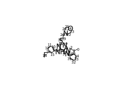 CC(Cn1ncc2c(Nc3cccc(F)c3)nc(SCCN3CCOCC3)nc21)c1ccccc1